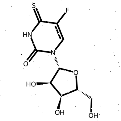 O=c1[nH]c(=S)c(F)cn1[C@@H]1O[C@H](CO)[C@@H](O)[C@H]1O